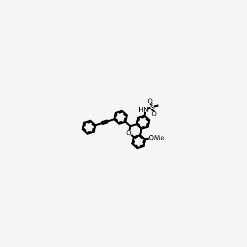 COc1cccc2c1-c1ccc(NS(C)(=O)=O)cc1C(c1cccc(C#Cc3ccccc3)c1)O2